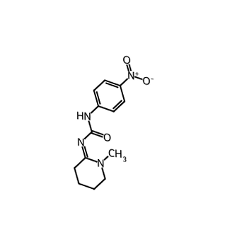 CN1CCCCC1=NC(=O)Nc1ccc([N+](=O)[O-])cc1